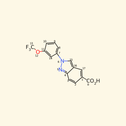 O=C(O)c1ccc2nn(-c3cccc(OC(F)(F)F)c3)cc2c1